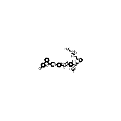 CCNCC(=O)NCCN1CCC[C@H]1C[C@@H](S)Nc1ccc(S(=O)(=O)NC(=O)c2ccc(N3CCC([C@@H](O)c4ccccc4-c4ccc(Cl)cc4)CC3)cc2)cc1S(=O)(=O)C(F)(F)F